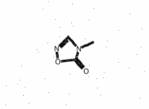 Cn1[c]noc1=O